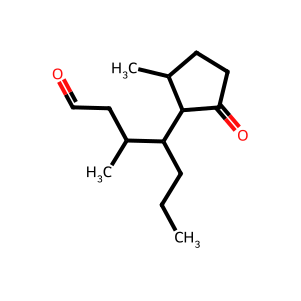 CCCC(C(C)CC=O)C1C(=O)CCC1C